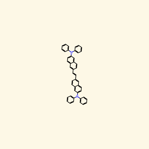 C(=C\c1ccc2cc(N(c3ccccc3)c3ccccc3)ccc2c1)/c1ccc2cc(N(c3ccccc3)c3ccccc3)ccc2c1